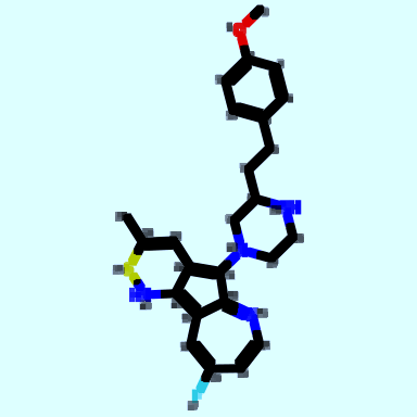 COc1ccc(CCC2CN(c3c4nccc(F)cc-4c4c3C=C(C)SN4)CCN2)cc1